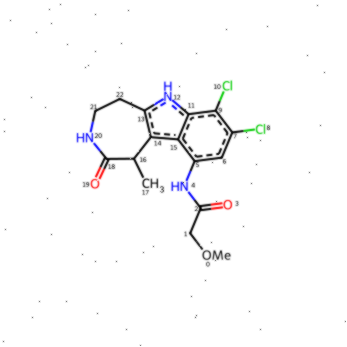 COCC(=O)Nc1cc(Cl)c(Cl)c2[nH]c3c(c12)C(C)C(=O)NCC3